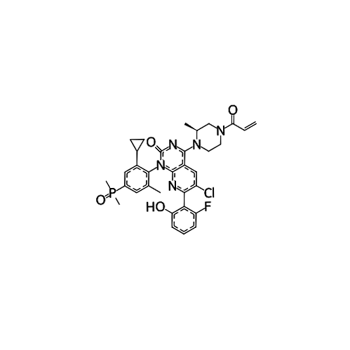 C=CC(=O)N1CCN(c2nc(=O)n(-c3c(C)cc(P(C)(C)=O)cc3C3CC3)c3nc(-c4c(O)cccc4F)c(Cl)cc23)[C@@H](C)C1